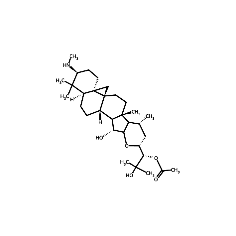 CN[C@H]1CC[C@]23C[C@]24CC[C@]2(C)C5C(O[C@@H]([C@H](OC(C)=O)C(C)(C)O)C[C@H]5C)[C@H](O)C2[C@@H]4CC[C@H]3C1(C)C